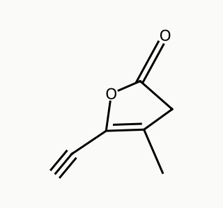 C#CC1=C(C)CC(=O)O1